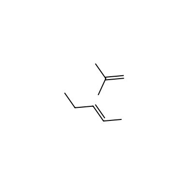 C=C(C)C.CC=CCC